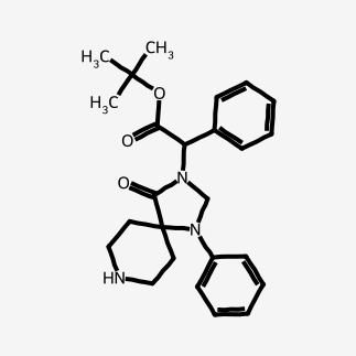 CC(C)(C)OC(=O)C(c1ccccc1)N1CN(c2ccccc2)C2(CCNCC2)C1=O